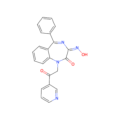 O=C(Cn1c(=O)c(=NO)nc(-c2ccccc2)c2ccccc21)c1cccnc1